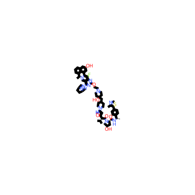 CCc1cccc2cc(O)cc(-c3ncc4c(N5CC6CCC(C5)N6)nc(OCCN5CCC(O)(CC6CCN(c7cc([C@H](C(=O)N8C[C@H](O)C[C@H]8C(=O)N[C@@H](C)c8ccc(-c9scnc9C)cc8)C(C)C)on7)CC6)CC5)nc4c3F)c12